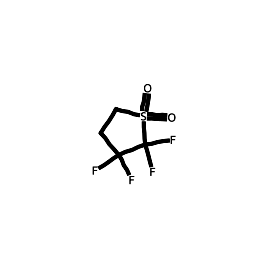 O=S1(=O)CCC(F)(F)C1(F)F